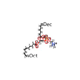 CCCCCCCC/C=C\C/C=C\CCCCC(=O)OC[C@H](COP(=O)([O-])OCC[N+](C)(C)C)OC(=O)CCCCCCCCCCCCCCC